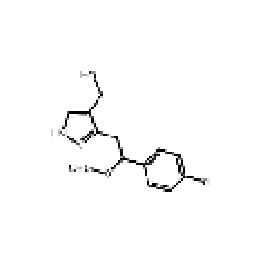 O=COC(Cc1n[nH]cc1CO)c1ccc(Cl)cc1